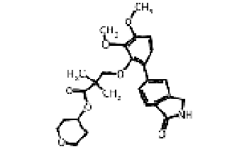 COc1ccc(-c2ccc3c(c2)CNC3=O)c(OCC(C)(C)C(=O)OC2CCOCC2)c1OC